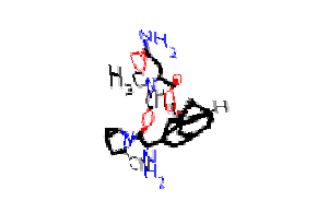 CN(C)C(CC(N)=O)C(=O)OC12CC3C[C@H](C1)CC([C@H](N)C(=O)N1C4CC4C[C@H]1C#N)(C3)C2